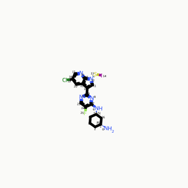 N[C@@H]1CCC[C@H](Nc2nc(-c3cn(SI)c4ncc(Cl)cc34)ncc2F)C1